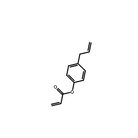 C=CCc1ccc(OC(=O)C=C)cc1